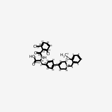 COc1ccccc1CN1CC=C(c2ccc(C[C@H](NC(=O)c3c(Cl)cccc3Cl)C(=O)O)cc2)CC1